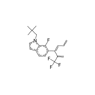 C=C/C=C(\C(=C)C(F)(F)F)c1ccc2ccn(CC(C)(C)C)c2c1F